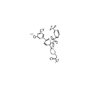 CCOc1cc(Cl)cc(-c2ccc(N3CCC(CC(=O)OC)CC3)c(NS(=O)(=O)c3cccc(C(F)(F)F)c3)c2)c1